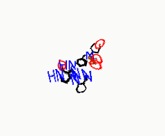 N#CC1CCCCC1n1nc(Nc2ccc3c(c2)CN(C2CCOCC2)S3(=O)=O)c2c(=O)[nH]ccc21